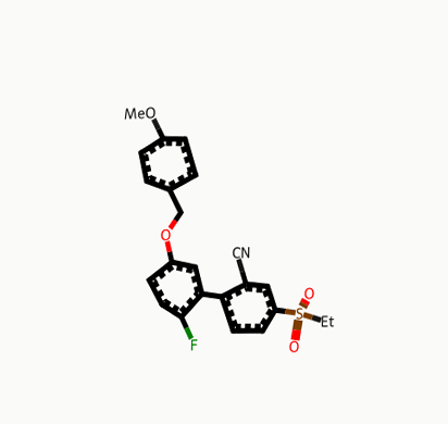 CCS(=O)(=O)c1ccc(-c2cc(OCc3ccc(OC)cc3)ccc2F)c(C#N)c1